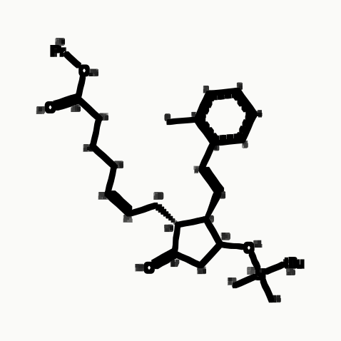 Cc1ccccc1/C=C/[C@H]1C(O[Si](C)(C)C(C)(C)C)CC(=O)[C@@H]1C/C=C\CCCC(=O)OC(C)C